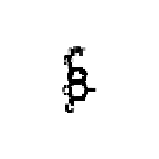 CCCOc1ccc2c(c1)OC(=O)CC2C